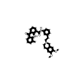 COc1cc2c(cc1OC)CN(CCc1cccc(NC(=O)c3cccc4c(=O)c5cccc(F)c5[nH]c34)c1)CC2